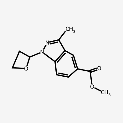 COC(=O)c1ccc2c(c1)c(C)nn2C1CCO1